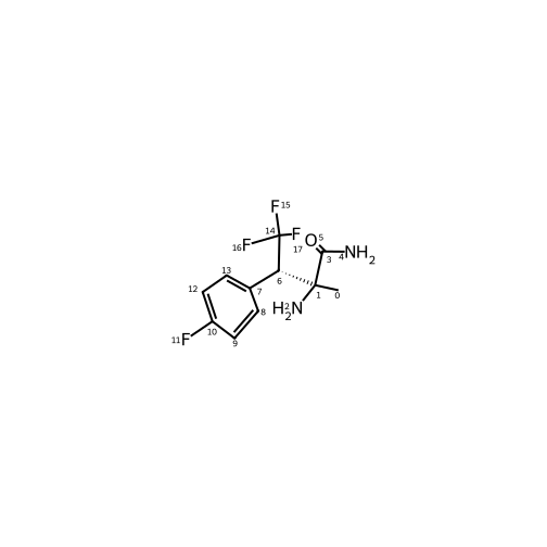 CC(N)(C(N)=O)[C@H](c1ccc(F)cc1)C(F)(F)F